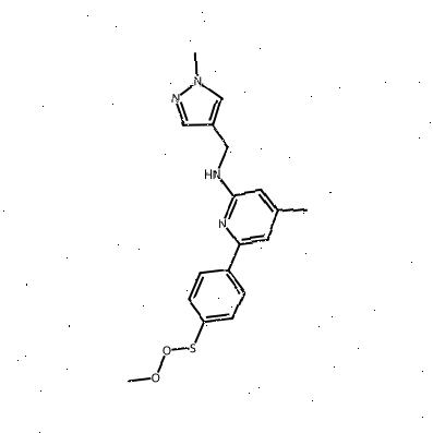 COOSc1ccc(-c2cc(C)cc(NCc3cnn(C)c3)n2)cc1